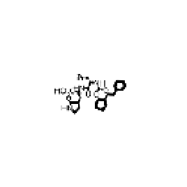 CC(C)C[C@H](NC(=O)OC(Cc1ccccc1)c1ccccc1)C(=O)N[C@@H](CC1CCNC1=O)C(=O)O